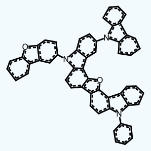 c1ccc(-n2c3ccccc3c3c4oc5c(ccc6c5c5cc(-n7c8ccccc8c8ccccc87)ccc5n6-c5ccc6oc7ccccc7c6c5)c4ccc32)cc1